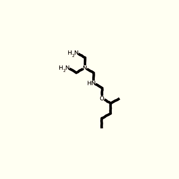 CCCC(C)OCNCN(CN)CN